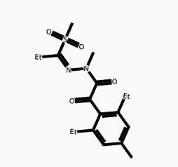 CCC(=NN(C)C(=O)C(=O)c1c(CC)cc(C)cc1CC)S(C)(=O)=O